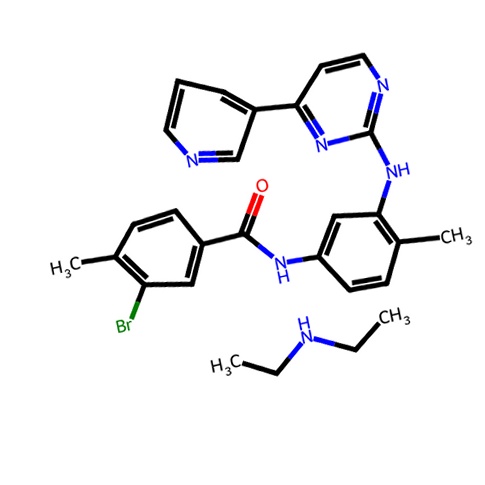 CCNCC.Cc1ccc(C(=O)Nc2ccc(C)c(Nc3nccc(-c4cccnc4)n3)c2)cc1Br